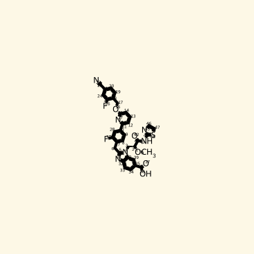 CO[C@@H](Cn1c(Cc2ccc(-c3cccc(OCc4ccc(C#N)cc4F)n3)cc2F)nc2ccc(C(=O)O)cc21)C(=O)Nc1nccs1